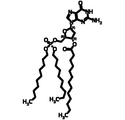 CCCCCCCCCCCCC(=O)O[C@H]1C[C@H](n2cnc3c(=O)[nH]c(N)nc32)O[C@@H]1COP(=O)(OCCCCCCCCCC)OCCCCCCCCCC